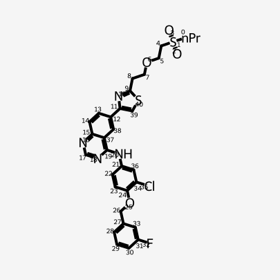 CCCS(=O)(=O)CCOCCc1nc(-c2ccc3ncnc(Nc4ccc(OCc5cccc(F)c5)c(Cl)c4)c3c2)cs1